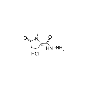 CN1C(=O)CC[C@@H]1C(=O)NN.Cl